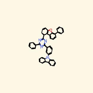 C1=Cc2oc3c(-c4ccccc4)cccc3c2C(c2nc(-c3ccccc3)nc(-c3cccc(-n4c5ccccc5c5ccccc54)c3)n2)C1